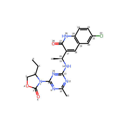 CCC1COC(=O)N1c1nc(C)nc(N[C@@H](C)c2cc3cc(Cl)ccc3[nH]c2=O)n1